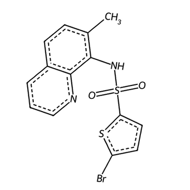 Cc1ccc2cccnc2c1NS(=O)(=O)c1ccc(Br)s1